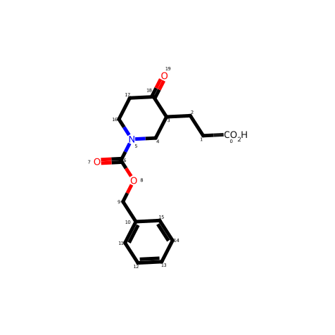 O=C(O)CCC1CN(C(=O)OCc2ccccc2)CCC1=O